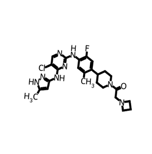 Cc1cc(Nc2nc(Nc3cc(C)c(C4CCN(C(=O)CN5CCC5)CC4)cc3F)ncc2Cl)n[nH]1